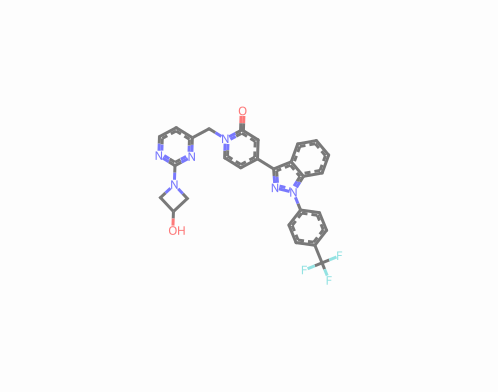 O=c1cc(-c2nn(-c3ccc(C(F)(F)F)cc3)c3ccccc23)ccn1Cc1ccnc(N2CC(O)C2)n1